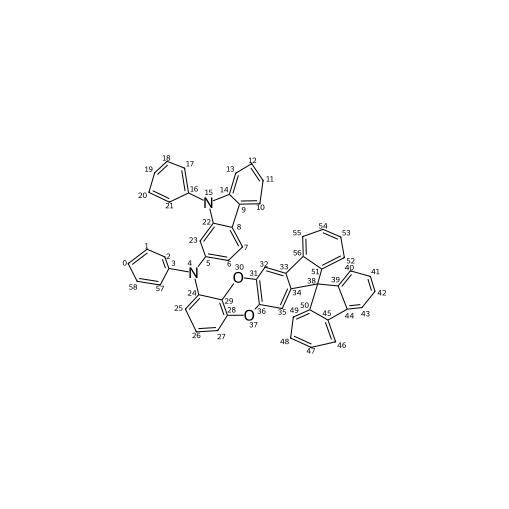 c1ccc(N(c2ccc3c4ccccc4n(-c4ccccc4)c3c2)c2cccc3c2Oc2cc4c(cc2O3)C2(c3ccccc3-c3ccccc32)c2ccccc2-4)cc1